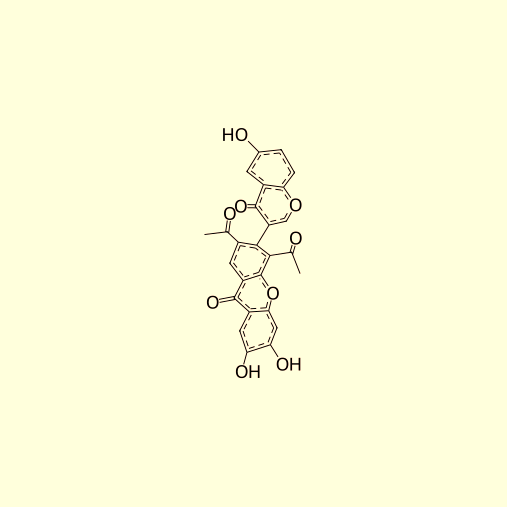 CC(=O)c1cc2c(=O)c3cc(O)c(O)cc3oc2c(C(C)=O)c1-c1coc2ccc(O)cc2c1=O